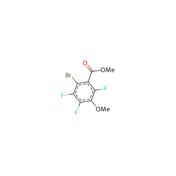 COC(=O)c1c(F)c(OC)c(F)c(F)c1Br